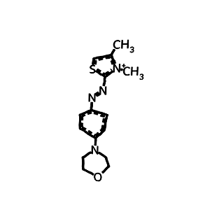 Cc1csc(/N=N/c2ccc(N3CCOCC3)cc2)[n+]1C